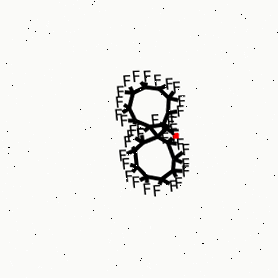 FC(F)(F)C1(C2(F)C(F)(F)C(F)(F)C(F)(F)C(F)(F)C(F)(F)C(F)(F)C(F)(F)C2(F)F)C(F)(F)C(F)(F)C(F)(F)C(F)(F)C(F)(F)C(F)(F)C(F)(F)C1(F)F